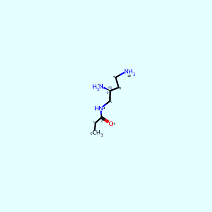 CCC(=O)NC[C@@H](N)CCN